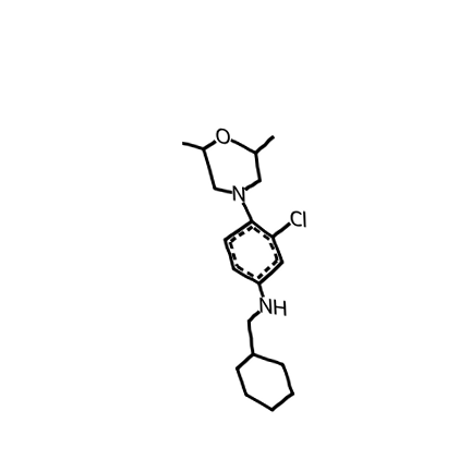 CC1CN(c2ccc(NCC3CCCCC3)cc2Cl)CC(C)O1